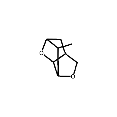 CC1C2CC3COC1C3O2